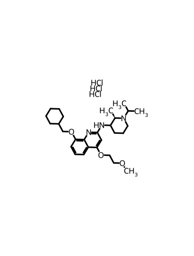 COCCOc1cc(NC2CCCN(C(C)C)[C@@H]2C)nc2c(OCC3CCCCC3)cccc12.Cl.Cl.Cl